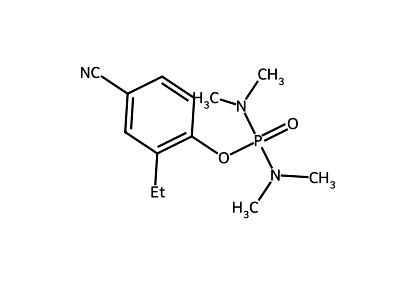 CCc1cc(C#N)ccc1OP(=O)(N(C)C)N(C)C